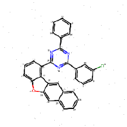 Clc1cccc(-c2nc(-c3ccccc3)nc(-c3cccc4oc5cc6ccccc6cc5c34)n2)c1